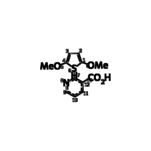 COC1=CC=C(OC)[SH]1c1ncccc1C(=O)O